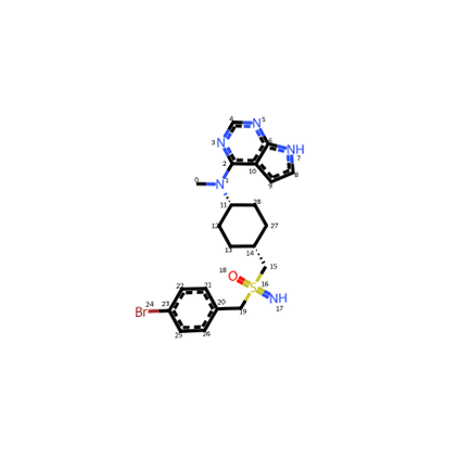 CN(c1ncnc2[nH]ccc12)[C@H]1CC[C@@H](CS(=N)(=O)Cc2ccc(Br)cc2)CC1